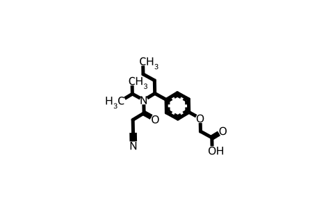 CCCC(c1ccc(OCC(=O)O)cc1)N(C(=O)CC#N)C(C)C